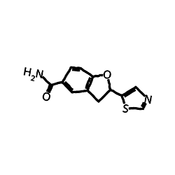 NC(=O)c1ccc2c(c1)CC(c1cncs1)O2